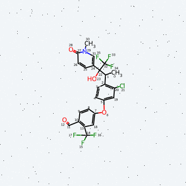 CC(c1ccc(Oc2ccc(C=O)c(C(F)(F)F)c2)cc1Cl)C(O)(c1ccc(=O)n(C)c1)C(F)(F)F